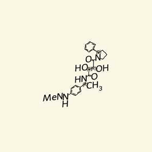 CNNc1ccc([C@@H](C)NC(=O)[C@H](O)[C@@H](O)C(=O)N2CCC[C@@H]2c2ccccc2)cc1